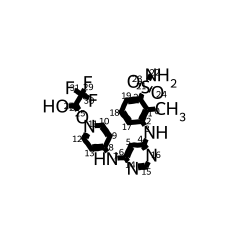 Cc1c(Nc2cc(Nc3ccncc3)ncn2)cccc1S(N)(=O)=O.O=C(O)C(F)(F)F